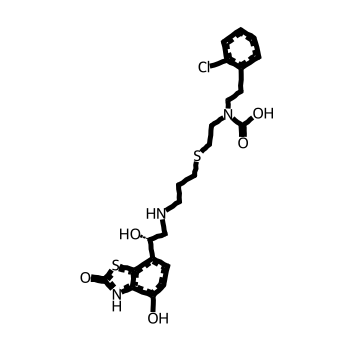 O=C(O)N(CCSCCCNC[C@@H](O)c1ccc(O)c2[nH]c(=O)sc12)CCc1ccccc1Cl